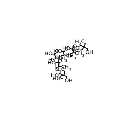 CC(S)C(=O)O.CC(S)C(=O)O.CC(S)C(=O)O.CC(S)C(=O)O.CCC(CO)(CO)CO.CCC(CO)(CO)CO